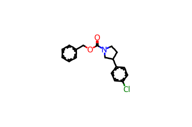 O=C(OCc1ccccc1)N1CCC(c2ccc(Cl)cc2)C1